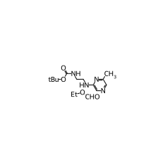 CCOC=O.Cc1cncc(NCCNC(=O)OC(C)(C)C)n1